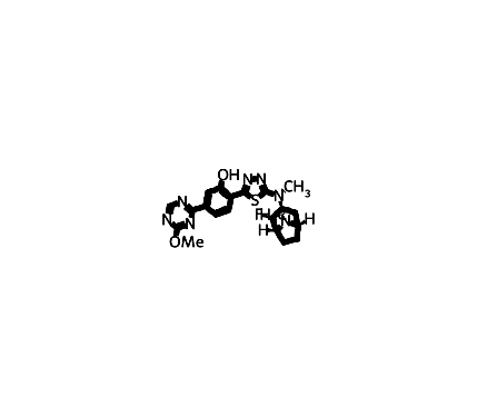 COc1ncnc(-c2ccc(-c3nnc(N(C)[C@H]4C[C@@H]5CC[C@H]([C@H]4F)N5C)s3)c(O)c2)n1